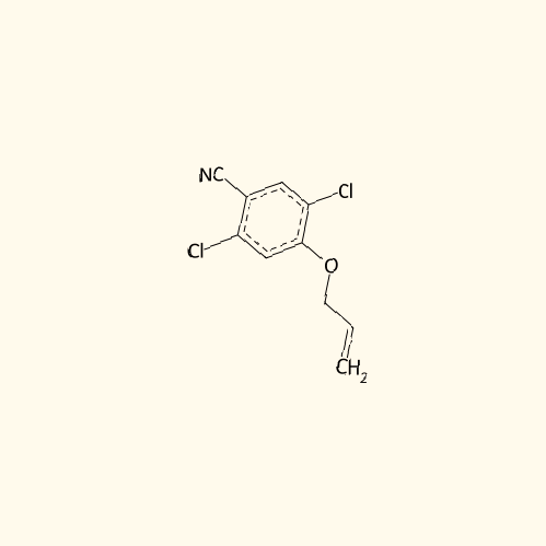 C=CCOc1cc(Cl)c(C#N)cc1Cl